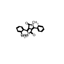 COc1ccccc1C1=C2C(=O)N(C)C(c3ccccc3)=C2C(=O)N1C